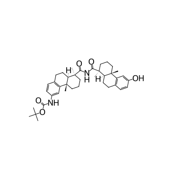 CC(C)(C)OC(=O)Nc1ccc2c(c1)[C@@]1(C)CCC[C@](C)(C(=O)NC(=O)[C@@]3(C)CCC[C@]4(C)c5cc(O)ccc5CC[C@@H]34)[C@@H]1CC2